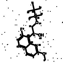 COc1ccc2ncc(F)c([C@@H](O)CO[Si](C)(C)C(C)(C)C)c2n1